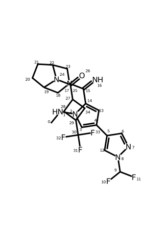 CNn1cc(-c2cnn(C(F)F)c2)cc1C(=N)N1CC2CCC(C1)N2C(=O)C1CC(C(F)(F)F)C1